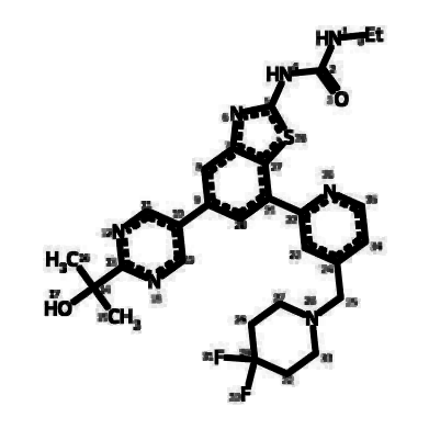 CCNC(=O)Nc1nc2cc(-c3cnc(C(C)(C)O)nc3)cc(-c3cc(CN4CCC(F)(F)CC4)ccn3)c2s1